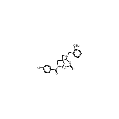 CC(C)COc1ccccc1CN1CC2(CCN(C(=O)c3ccc(Cl)cc3)CC2)C1OC(=O)C(F)(F)F